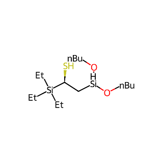 CCCCO[SiH](C[C@H](S)[Si](CC)(CC)CC)OCCCC